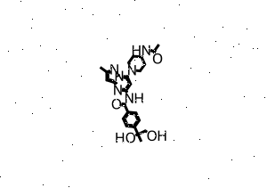 CC(=O)NC1CCN(c2cc(NC(=O)c3ccc(C(C)(O)CO)cc3)nc3cc(C)nn23)CC1